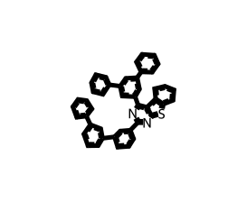 c1ccc(-c2cccc(-c3cccc(-c4nc(-c5cc(-c6ccccc6)cc(-c6ccccc6)c5)c5c(n4)sc4ccccc45)c3)c2)cc1